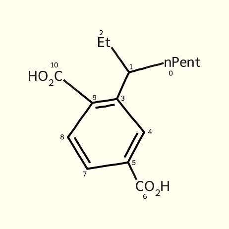 CCCCCC(CC)c1cc(C(=O)O)ccc1C(=O)O